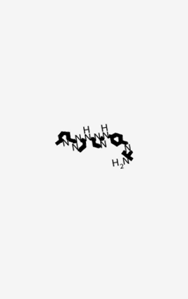 Cc1cccc(-c2nccc(Nc3ccnc(Nc4ccc(CN5CC(C)(N)C5)cc4)n3)n2)n1